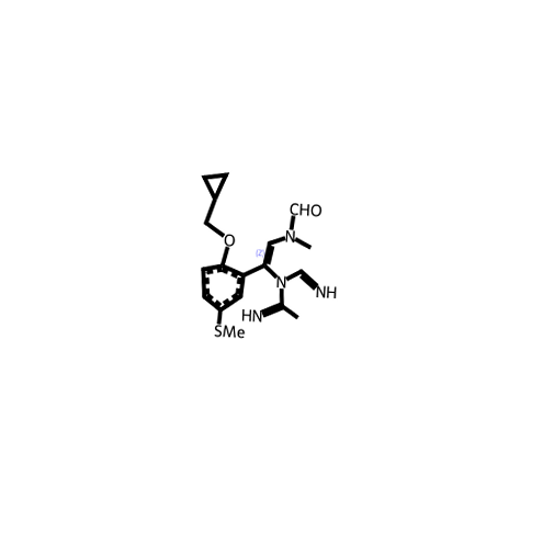 CSc1ccc(OCC2CC2)c(/C(=C/N(C)C=O)N(C=N)C(C)=N)c1